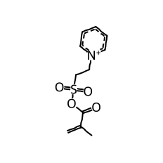 C=C(C)C(=O)OS(=O)(=O)CC[n+]1ccccc1